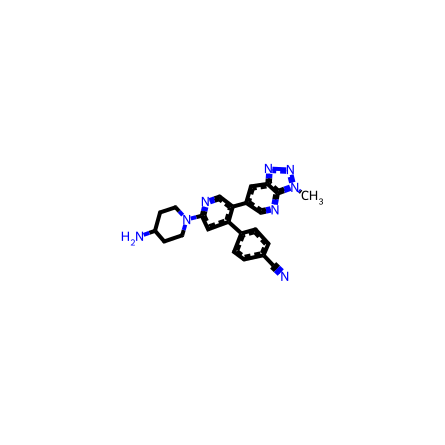 Cn1nnc2cc(-c3cnc(N4CCC(N)CC4)cc3-c3ccc(C#N)cc3)cnc21